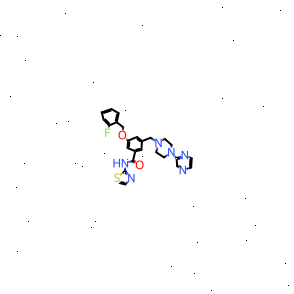 O=C(Nc1nccs1)c1cc(CN2CCN(c3cnccn3)CC2)cc(OCc2ccccc2F)c1